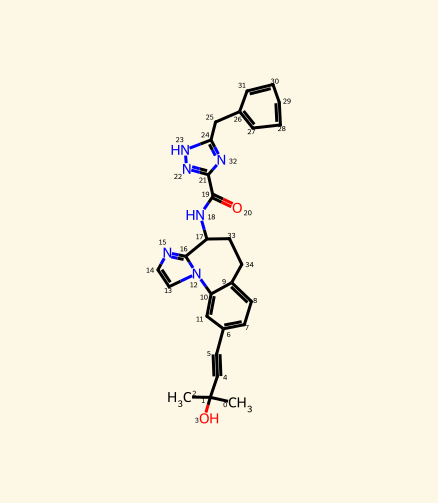 CC(C)(O)C#Cc1ccc2c(c1)-n1ccnc1C(NC(=O)c1n[nH]c(Cc3ccccc3)n1)CC2